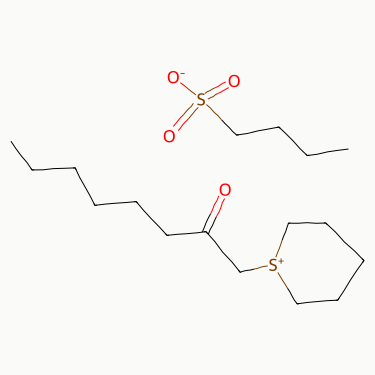 CCCCCCC(=O)C[S+]1CCCCC1.CCCCS(=O)(=O)[O-]